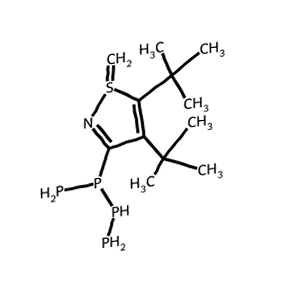 C=S1N=C(P(P)PP)C(C(C)(C)C)=C1C(C)(C)C